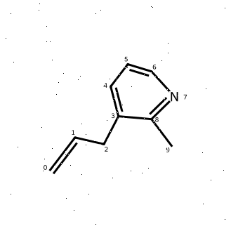 C=CCc1cccnc1C